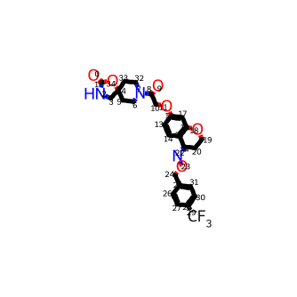 O=C1NCC2(CCN(C(=O)COc3ccc4c(c3)OCCC4=NOCc3ccc(C(F)(F)F)cc3)CC2)O1